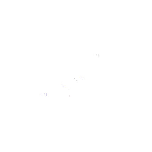 Cc1ccc(-c2cc(C(=O)NC3CCNCC3)nn2-c2ccc(C#N)cc2)cc1